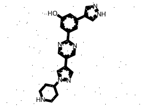 Oc1cc(-c2cn[nH]c2)cc(-c2ncc(-c3cnn(C4CCNCC4)c3)cn2)c1